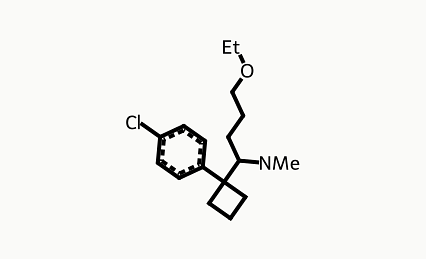 CCOCCCC(NC)C1(c2ccc(Cl)cc2)CCC1